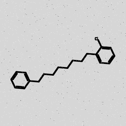 Clc1ccccc1CCCCCCCCc1ccccc1